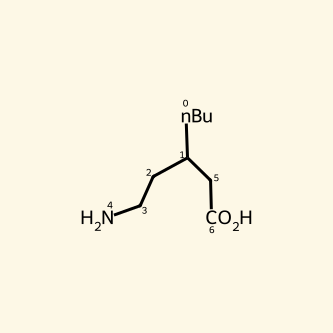 CCCCC(CCN)CC(=O)O